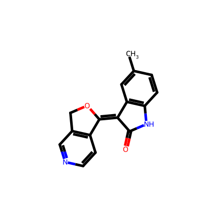 Cc1ccc2c(c1)C(=C1OCc3cnccc31)C(=O)N2